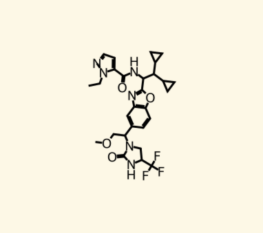 CCn1nccc1C(=O)NC(c1nc2cc(C(COC)N3CC(C(F)(F)F)NC3=O)ccc2o1)C(C1CC1)C1CC1